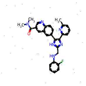 Cc1cccc(-c2nc(CNc3ccccc3F)[nH]c2-c2ccc3ncc(C(=O)N(C)C)cc3c2)n1